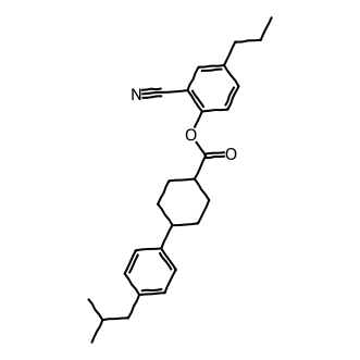 CCCc1ccc(OC(=O)C2CCC(c3ccc(CC(C)C)cc3)CC2)c(C#N)c1